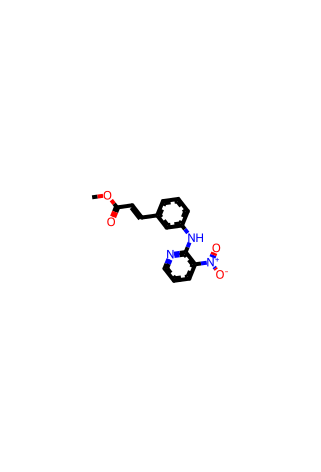 COC(=O)/C=C/c1cccc(Nc2ncccc2[N+](=O)[O-])c1